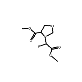 COC(=O)C(F)N1COCC1C(=O)OC